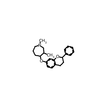 CC1CN(C)CCCC1Oc1ccc2c(c1)OC(c1ccccc1)CC2